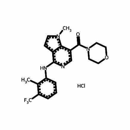 Cc1c(Nc2ncc(C(=O)N3CCOCC3)c3c2ccn3C)cccc1C(F)(F)F.Cl